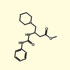 COC(=O)CC(CN1CC[CH]CC1)NC(=O)Nc1ccccc1